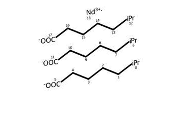 CC(C)CCCCC(=O)[O-].CC(C)CCCCC(=O)[O-].CC(C)CCCCC(=O)[O-].[Nd+3]